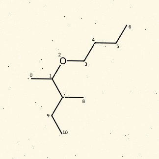 [CH2]C(OCCCC)C(C)CC